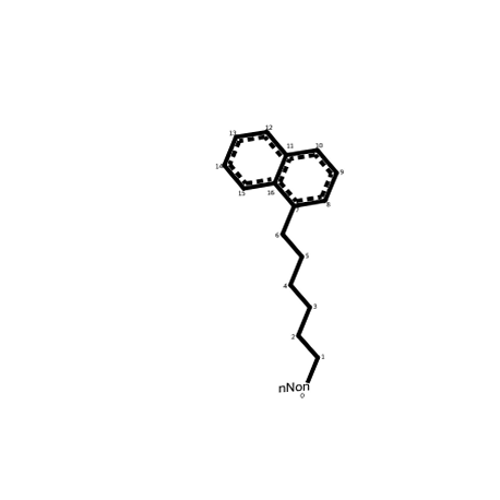 CCCCCCCCCCCCCC[CH]c1cccc2ccccc12